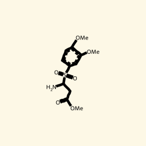 COC(=O)CC(N)S(=O)(=O)c1ccc(OC)c(OC)c1